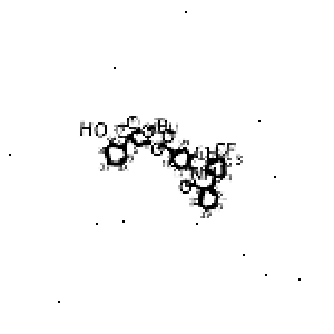 CCC(C)OC(=O)C(CCOC(=O)c1ccc(NC(=O)c2ccccc2-c2ccc(C(F)(F)F)cc2)c(C)c1)(C(=O)O)c1ccccc1